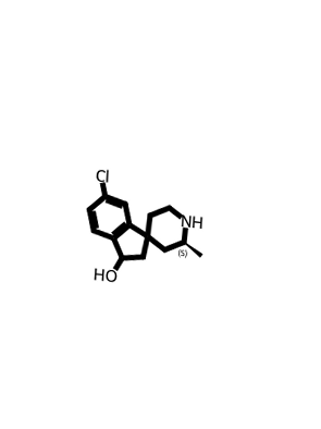 C[C@H]1CC2(CCN1)CC(O)c1ccc(Cl)cc12